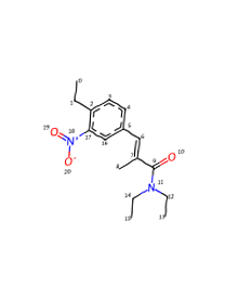 CCc1ccc(/C=C(\C)C(=O)N(CC)CC)cc1[N+](=O)[O-]